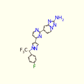 Nc1nc2cc(-c3nccc(-c4cnn([C@H](c5ccc(F)cc5)C(F)(F)F)c4)n3)ccn2n1